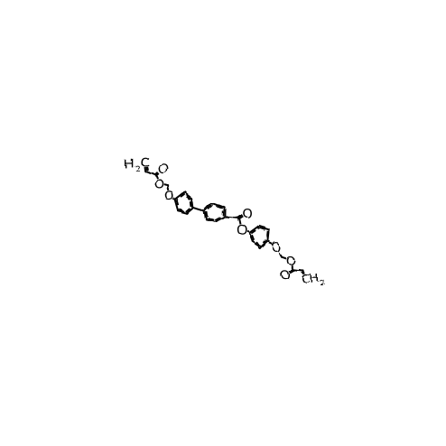 C=CC(=O)OCOc1ccc(OC(=O)c2ccc(-c3ccc(OCOC(=O)C=C)cc3)cc2)cc1